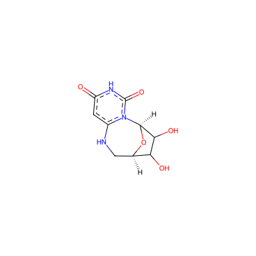 O=c1cc2n(c(=O)[nH]1)[C@@H]1O[C@H](CN2)C(O)C1O